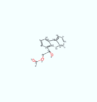 CC(=O)OCC(=O)c1cccc2c1Cc1ccccc1-2